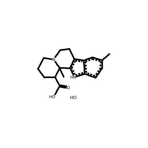 Cc1ccc2[nH]c3c(c2c1)CCN1CCCC(C(=O)O)C31C.Cl